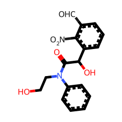 O=Cc1cccc(C(O)C(=O)N(CCO)c2ccccc2)c1[N+](=O)[O-]